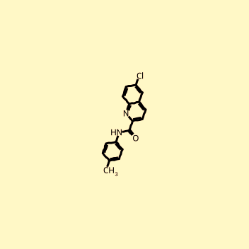 Cc1ccc(NC(=O)c2ccc3cc(Cl)ccc3n2)cc1